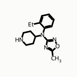 CCc1ccccc1N(c1noc(C)n1)C1CCNCC1